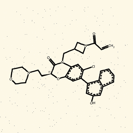 C=CC(=O)N1CC(CN2C(=O)[C@H](CCN3CCOCC3)Oc3cc(-c4cc(O)cc5ccccc45)c(Cl)cc32)C1